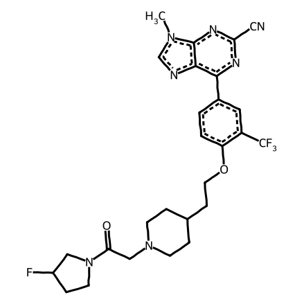 Cn1cnc2c(-c3ccc(OCCC4CCN(CC(=O)N5CCC(F)C5)CC4)c(C(F)(F)F)c3)nc(C#N)nc21